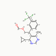 Cc1ncnc(C2CC2)c1C(COC=O)c1cccc(C(F)(F)F)c1